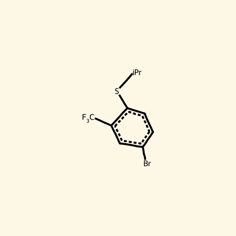 CC(C)Sc1ccc(Br)cc1C(F)(F)F